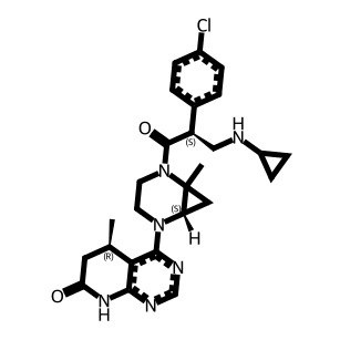 C[C@@H]1CC(=O)Nc2ncnc(N3CCN(C(=O)[C@H](CNC4CC4)c4ccc(Cl)cc4)C4(C)C[C@H]34)c21